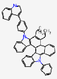 C=CC1=C(C=C)C2C(=c3c(n(-c4ccccc4)c4ccccc34)=C3C=CC=CC32)c2c1n(-c1ccc(-c3ccnc4ccccc34)cc1)c1ccccc21